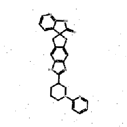 O=C1Nc2ncccc2C12Cc1cc3nc(C4CCCN(c5ccccn5)C4)[nH]c3cc1C2